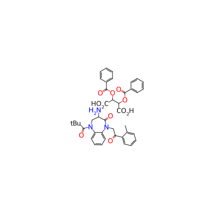 Cc1ccccc1C(=O)CN1C(=O)C(N)CN(C(=O)C(C)(C)C)c2ccccc21.O=C(OC(C(=O)O)C(OC(=O)c1ccccc1)C(=O)O)c1ccccc1